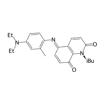 CC[C@H](C)n1c2c(ccc1=O)C(=Nc1ccc(N(CC)CC)cc1C)C=CC2=O